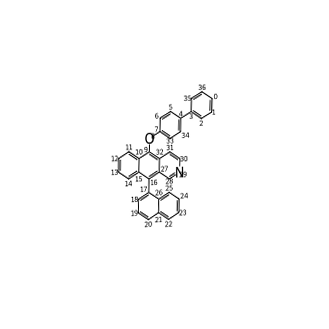 c1ccc(-c2ccc(Oc3c4ccccc4c(-c4cccc5ccccc45)c4cnccc34)cc2)cc1